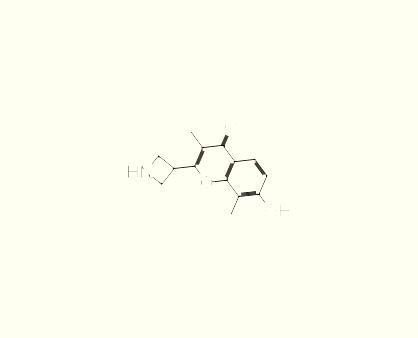 Cc1c(C2CNC2)oc2c(C)c(O)ccc2c1=O